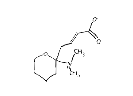 C[SiH](C)C1(CC=CC([O])=O)CCCCO1